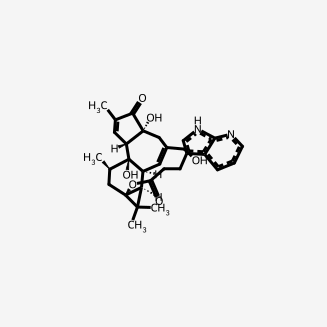 CC1=C[C@H]2[C@@]3(O)[C@H](C)C[C@]4(OC(=O)CCc5c[nH]c6ncccc56)[C@@H]([C@@H]3C=C(CO)C[C@]2(O)C1=O)C4(C)C